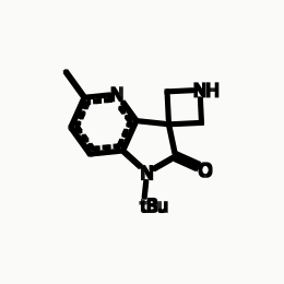 Cc1ccc2c(n1)C1(CNC1)C(=O)N2C(C)(C)C